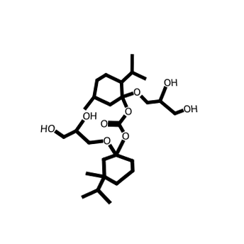 CC1CCC(C(C)C)C(OCC(O)CO)(OC(=O)OC2(OCC(O)CO)CCCC(C)(C(C)C)C2)C1